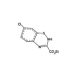 CCOC(=O)C1=Nc2ccc(Cl)cc2SN1